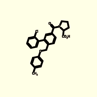 Cc1ccc(OCc2ccc(C(=O)N3CCCC3C(=O)O)cc2-c2ccccc2Cl)cc1